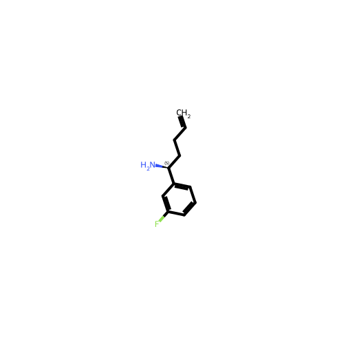 C=CCC[C@H](N)c1cccc(F)c1